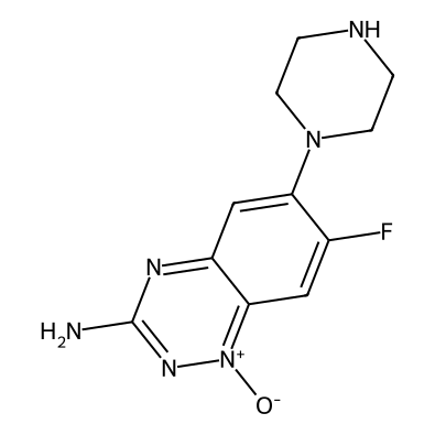 Nc1nc2cc(N3CCNCC3)c(F)cc2[n+]([O-])n1